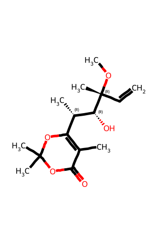 C=C[C@@](C)(OC)[C@H](O)[C@@H](C)C1=C(C)C(=O)OC(C)(C)O1